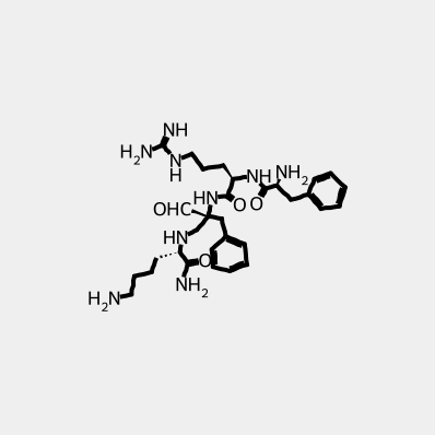 N=C(N)NCCC[C@@H](NC(=O)[C@@H](N)Cc1ccccc1)C(=O)N[C@@](C=O)(CN[C@@H](CCCCN)C(N)=O)Cc1ccccc1